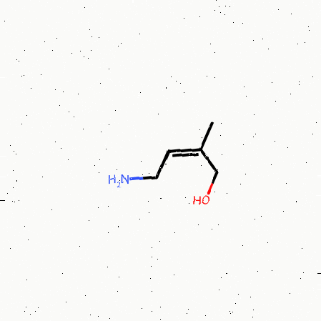 CC(=CCN)CO